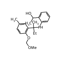 CCC(C)(Pc1ccccc1C(C)O)c1cc(C)ccc1OCOC